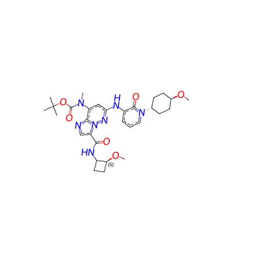 CO[C@H]1CCC1NC(=O)c1cnc2c(N(C)C(=O)OC(C)(C)C)cc(Nc3cccn([C@H]4CC[C@H](OC)CC4)c3=O)nn12